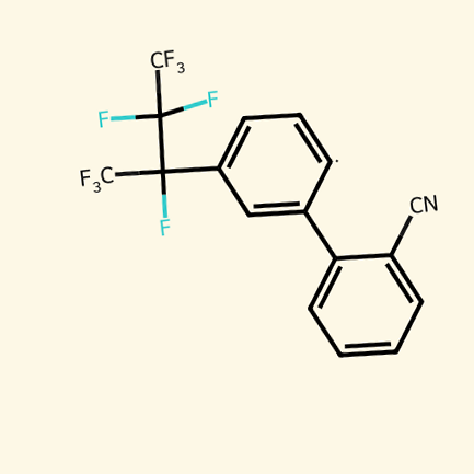 N#Cc1ccccc1-c1[c]ccc(C(F)(C(F)(F)F)C(F)(F)C(F)(F)F)c1